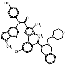 Cc1c(C(=O)N(c2ccc(O)cc2)c2cnc3c(ccn3C)c2)cc(-c2cc(Cl)ccc2C(=O)N2Cc3ccccc3C[C@H]2CN2CCOCC2)n1C